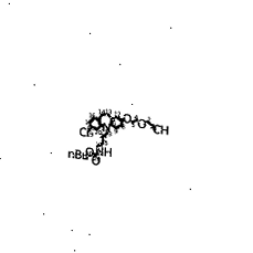 C#CCOCCOc1ccc2c(c1)CCc1ccc(Cl)cc1N2CCCCNC(=O)OCCCC